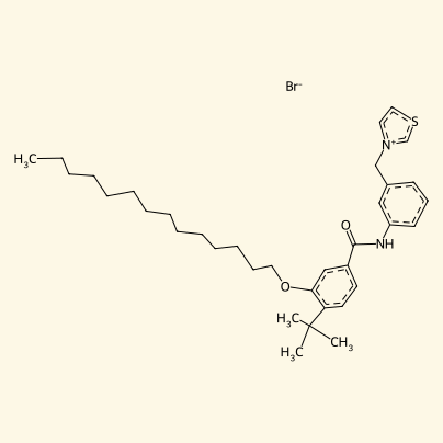 CCCCCCCCCCCCCCOc1cc(C(=O)Nc2cccc(C[n+]3ccsc3)c2)ccc1C(C)(C)C.[Br-]